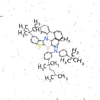 Cc1ccc2c(c1)N(C1=CC(C)CC=C1c1ccccc1)c1c(sc3ccc(C(C)(C)C)cc13)B2c1ccc(C(C)(C)CCC(C)C)cc1Nc1ccc(C(C)(C)C)cc1